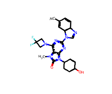 Cn1c(=O)n(C2CCC(O)CC2)c2nc(N3C=NC4C=CC(C#N)=CC43)nc(N3CC(F)(F)C3)c21